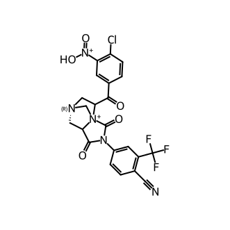 N#Cc1ccc(N2C(=O)C3C[N@]4CC(C(=O)c5ccc(Cl)c([N+](=O)O)c5)[N+]3(C4)C2=O)cc1C(F)(F)F